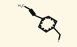 CC#Cc1ccc(CI)cc1